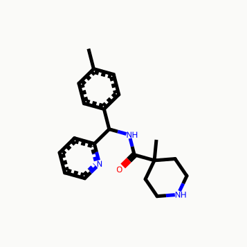 Cc1ccc(C(NC(=O)C2(C)CCNCC2)c2ccccn2)cc1